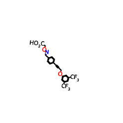 O=C(O)CON=Cc1ccc(C#CCOc2cc(C(F)(F)F)cc(C(F)(F)F)c2)cc1